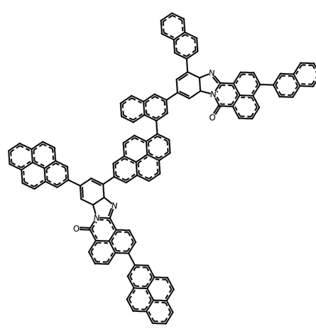 O=c1c2cccc3c(-c4ccc5ccccc5c4)ccc(c4n1C1C=C(c5cc(-c6ccc7ccc8cc(C9=CC(c%10cc%11ccc%12cccc%13ccc(c%10)c%11c%12%13)=CC%10C9N=c9c%11ccc(-c%12cc%13ccc%14cccc%15ccc(c%12)c%13c%14%15)c%12cccc(c(=O)n9%10)c%12%11)cc9ccc6c7c89)c6ccccc6c5)C=C(c5ccc6ccccc6c5)C1N=4)c32